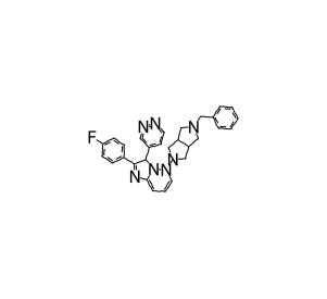 Fc1ccc(C2=NC3=CC=CN(N4CC5CN(Cc6ccccc6)CC5C4)N3C2c2ccnnc2)cc1